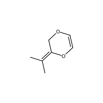 CC(C)=C1COC=CO1